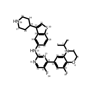 CC(C)N1CCOc2c(F)cc(-c3nc(Nc4ccc5scc(C6CCNCC6)c5c4)ncc3F)cc21